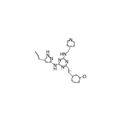 C=C=Cc1cc(Nc2nc(/C=C/c3cccc(Cl)c3)nc(NCc3ccncc3)n2)n[nH]1